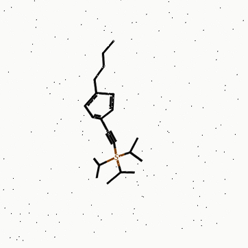 CCCCc1ccc(C#CS(C(C)C)(C(C)C)C(C)C)cc1